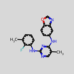 Cc1cnc(Nc2cccc(C)c2F)nc1Nc1ccc2ocnc2c1